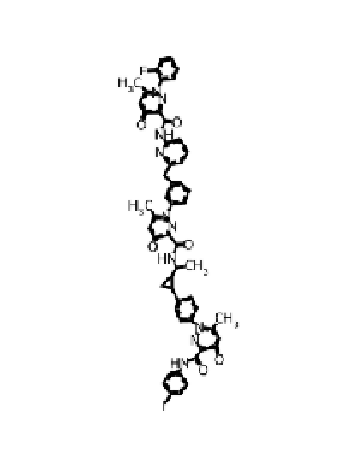 Cc1cc(=O)c(C(=O)Nc2ccc(I)cc2)nn1-c1ccc(C2CC2C(C)NC(=O)c2nn(-c3cccc(Cc4cccc(NC(=O)c5nn(-c6ccccc6F)c(C)cc5=O)n4)c3)c(C)cc2=O)cc1